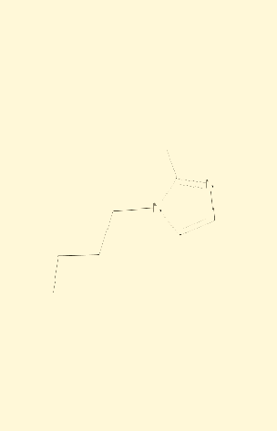 CCCCN1C=C[N+]=C1C